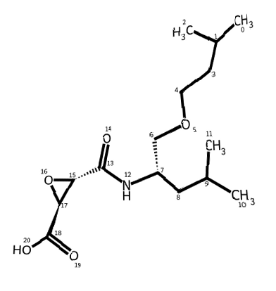 CC(C)CCOC[C@H](CC(C)C)NC(=O)[C@H]1O[C@@H]1C(=O)O